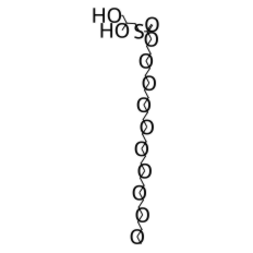 COCCOCCOCCOCCOCCOCCOCCOCCOCCOC(=O)SCC(O)CO